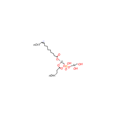 CCCCCCCC/C=C\CCCCCCCC(=O)OC[C@H](COP(=O)(O)OC[C@@H](O)CO)OC(=O)CCCCCCCCCCCC